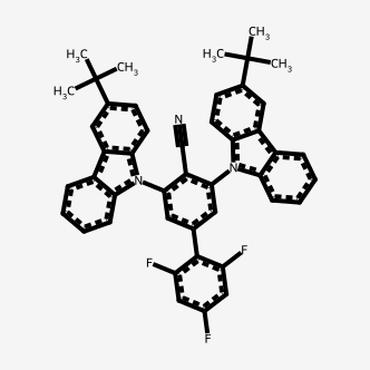 CC(C)(C)c1ccc2c(c1)c1ccccc1n2-c1cc(-c2c(F)cc(F)cc2F)cc(-n2c3ccccc3c3cc(C(C)(C)C)ccc32)c1C#N